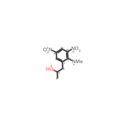 CNc1c(CC(C)O)cc([N+](=O)[O-])cc1[N+](=O)[O-]